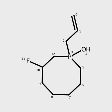 C=CC[P]1(O)CCCCCC(F)C1